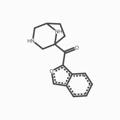 O=C(c1occ2ccccc12)C12CCC(CNC1)N2